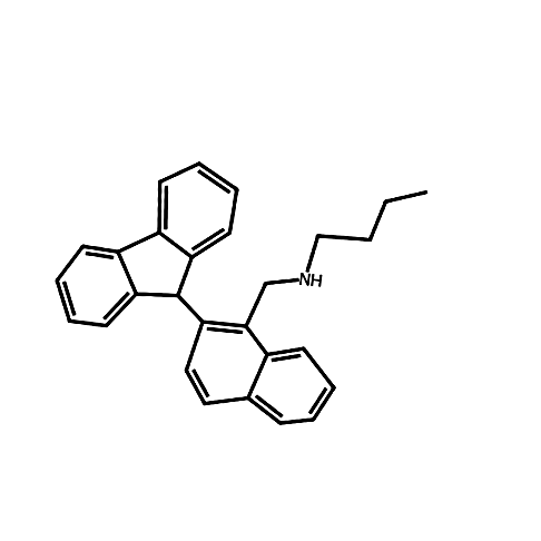 CCCCNCc1c(C2c3ccccc3-c3ccccc32)ccc2ccccc12